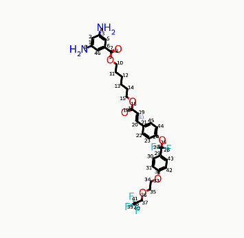 Nc1cc(N)cc(C(=O)OCCCCCCOC(=O)/C=C/c2ccc(OC(F)(F)c3ccc(OCCOCC(F)(F)F)cc3)cc2)c1